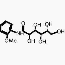 COc1ccccc1NC(=O)[C@H](O)[C@@H](O)[C@H](O)[C@H](O)CO